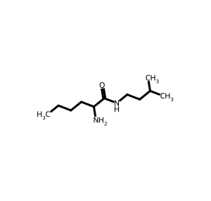 CCCCC(N)C(=O)NCCC(C)C